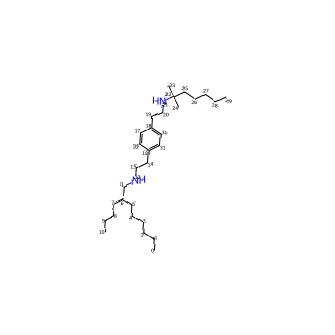 CCCCCCC(CCCC)CNCCc1ccc(CCNC(C)(C)CCCCC)cc1